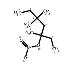 CCC(C)(C)CC(C)(CC)O[N+](=O)[O-]